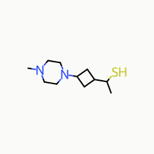 CC(S)C1CC(N2CCN(C)CC2)C1